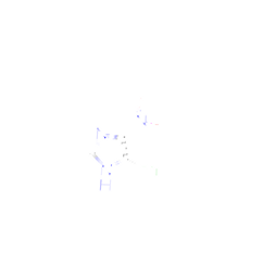 O=[N+]([O-])c1nc[nH]c1Br